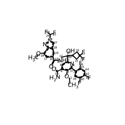 CCOc1c(C(N)=O)cc([C@@](O)(CNC(=O)c2cc(OC)c3nn(C(F)F)cc3c2)C2CC(F)(F)C2)nc1-c1cc(F)c(F)cc1F